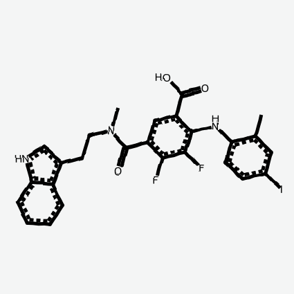 Cc1cc(I)ccc1Nc1c(C(=O)O)cc(C(=O)N(C)CCc2c[nH]c3ccccc23)c(F)c1F